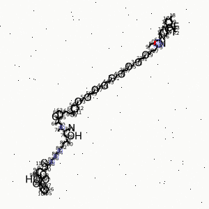 C\C=C(/C=N\C(=C/CCC)N1CCN(c2ccc(C)cc2C(F)(F)F)CC1)CCCOCCOCCOCCOCCOCCOCCOCCOCCOC1CCC(C)(CCC(CC)CC(=O)C(C)/C=C(\C)C(C#N)CC(O)C(C)CC/C=C/C=C/C=C/C(CC2CC[C@@H](C)[C@](O)(C(=O)C(=O)N3CCCCC3)O2)OC)CC1